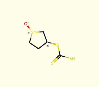 [O-][S@+]1CC[C@H](SC(=S)S)C1